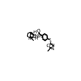 Cc1nnc(Sc2ccc(C(=O)N[C@@H]3C4CCN(CC4)[C@H]3C)cc2)o1